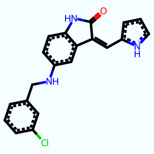 O=C1Nc2ccc(NCc3cccc(Cl)c3)cc2/C1=C/c1ccc[nH]1